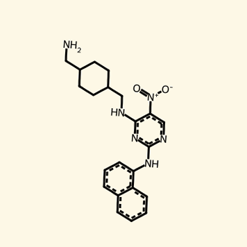 NCC1CCC(CNc2nc(Nc3cccc4ccccc34)ncc2[N+](=O)[O-])CC1